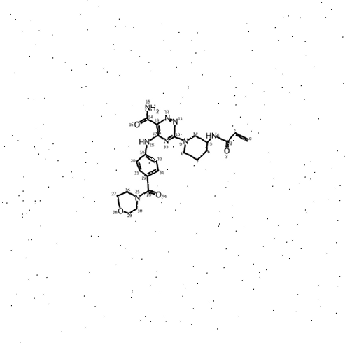 C=CC(=O)NC1CCCN(c2nnc(C(N)=O)c(Nc3ccc(C(=O)N4CCOCC4)cc3)n2)C1